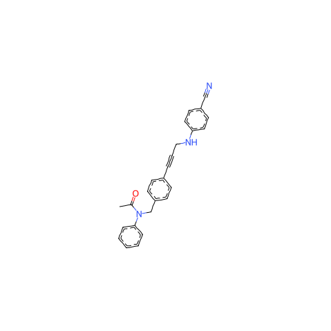 CC(=O)N(Cc1ccc(C#CCNc2ccc(C#N)cc2)cc1)c1ccccc1